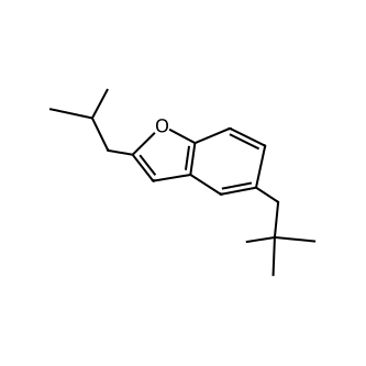 CC(C)Cc1cc2cc(CC(C)(C)C)ccc2o1